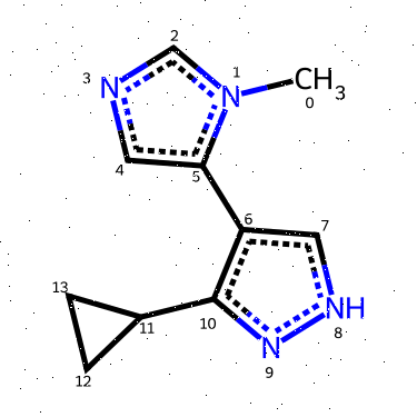 Cn1cncc1-c1c[nH]nc1C1CC1